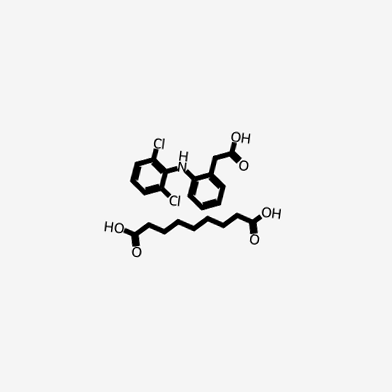 O=C(O)CCCCCCCC(=O)O.O=C(O)Cc1ccccc1Nc1c(Cl)cccc1Cl